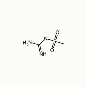 CS(=O)(=O)[N]C(=N)N